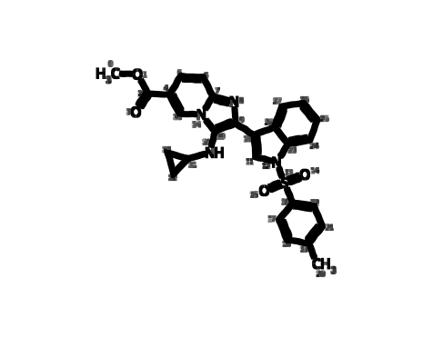 COC(=O)c1ccc2nc(-c3cn(S(=O)(=O)c4ccc(C)cc4)c4ccccc34)c(NC3CC3)n2c1